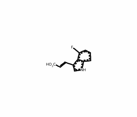 O=C(O)/C=C/c1c[nH]c2cccc(F)c12